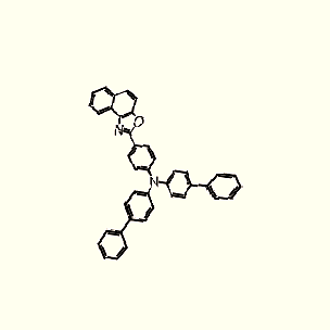 c1ccc(-c2ccc(N(c3ccc(-c4ccccc4)cc3)c3ccc(-c4nc5c(ccc6ccccc65)o4)cc3)cc2)cc1